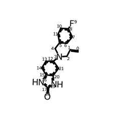 C=CCN(Cc1ccc(F)cc1)c1ccc2[nH]c(=O)[nH]c2c1